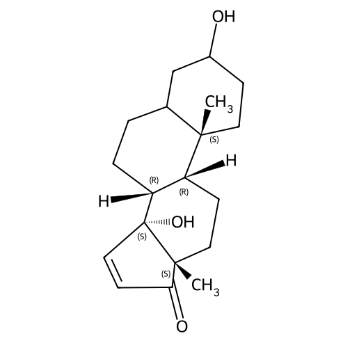 C[C@]12CCC(O)CC1CC[C@@H]1[C@H]2CC[C@]2(C)C(=O)C=C[C@@]12O